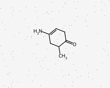 CC1CC(N)=CCC1=O